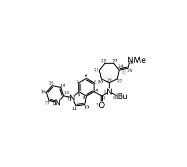 CCC(C)N(C(=O)c1cccc2c1ccn2-c1ccccn1)C1CCCC/C(=C\NC)C1